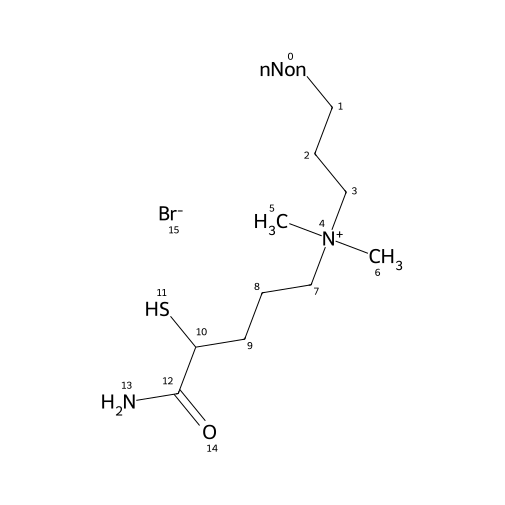 CCCCCCCCCCCC[N+](C)(C)CCCC(S)C(N)=O.[Br-]